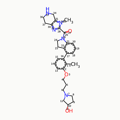 Cc1c(OCCCN2CCC(O)C2)cccc1-c1cccc2c1CCN2C(=O)c1nc2c(n1C)CNCC2